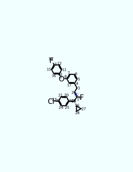 F/C(=C\Cc1cccc(Oc2ccc(F)cc2)c1)[C@@H](c1ccc(Cl)cc1)C1CC1